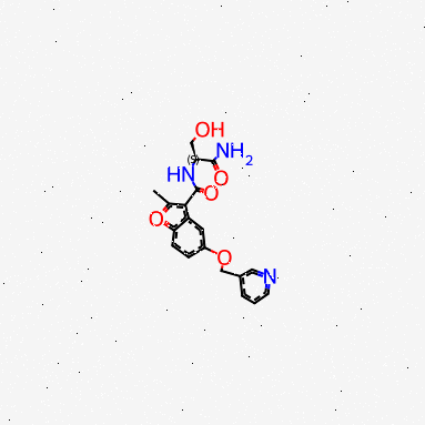 Cc1oc2ccc(OCc3cccnc3)cc2c1C(=O)N[C@@H](CO)C(N)=O